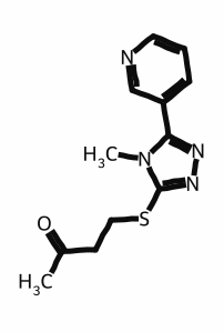 CC(=O)CCSc1nnc(-c2cccnc2)n1C